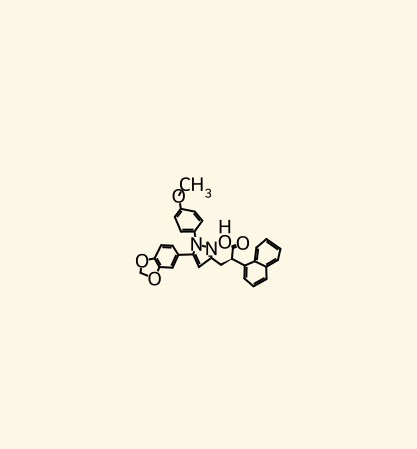 COc1ccc(-n2nc(C[C@@H](C(=O)O)c3cccc4ccccc34)cc2-c2ccc3c(c2)OCO3)cc1